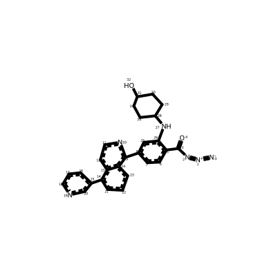 [N-]=[N+]=NC(=O)c1ccc(-c2nccc3c(-c4cccnc4)cccc23)cc1NC1CCC(O)CC1